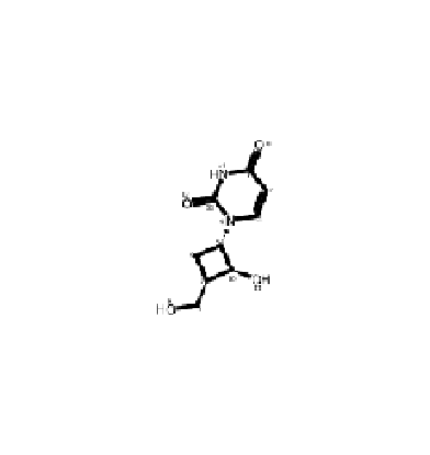 O=c1ccn([C@H]2C[C@H](CO)[C@@H]2O)c(=O)[nH]1